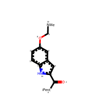 CCCC(C)C(=O)c1cc2cc(OCNC)ccc2[nH]1